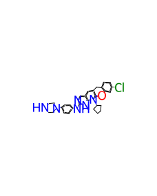 O=c1c(Cc2ccc(Cl)cc2)cc2cnc(Nc3ccc(N4CCNCC4)cc3)nc2n1C1CCCC1